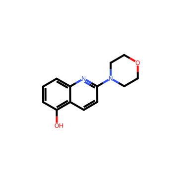 Oc1cccc2nc(N3CCOCC3)ccc12